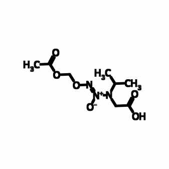 CC(=O)OCON=[N+]([O-])N(CC(=O)O)C(C)C